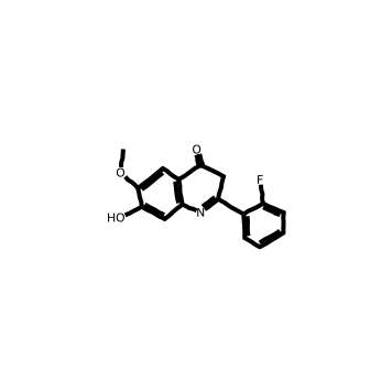 COc1cc2c(cc1O)N=C(c1ccccc1F)CC2=O